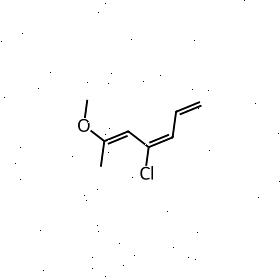 C=C/C=C(Cl)\C=C(/C)OC